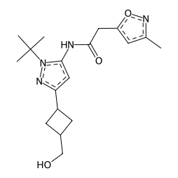 Cc1cc(CC(=O)Nc2cc(C3CC(CO)C3)nn2C(C)(C)C)on1